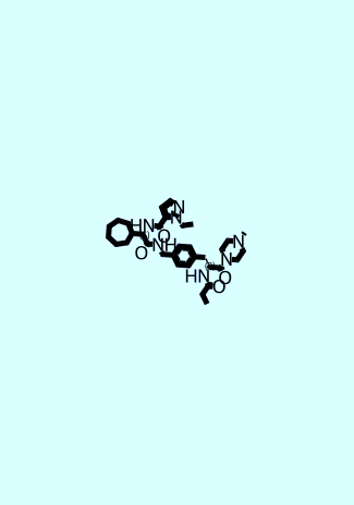 CCC(=O)N[C@H](Cc1ccc(CNC(=O)[C@@H](NC(=O)c2ccnn2CC)C2CCCCCC2)cc1)C(=O)N1CCN(C)CC1